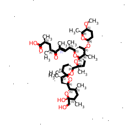 CO[C@H]1CC[C@H](O[C@@H]2C[C@@H]([C@@H](C)/C=C(\C)C(=O)[C@H](C)C[C@H](C)C(=O)O)O[C@@]3(CC[C@@](C)([C@H]4CC[C@@H](C)C5(O[C@@H]([C@H]6O[C@@](O)(CO)[C@@H](C)C[C@@H]6C)C[C@@H]5C)O4)O3)[C@@H]2C)O[C@@H]1C